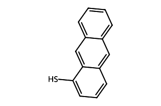 Sc1cccc2cc3ccccc3cc12